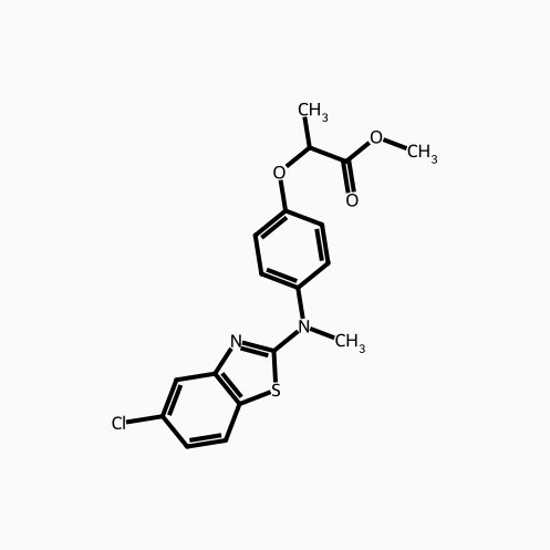 COC(=O)C(C)Oc1ccc(N(C)c2nc3cc(Cl)ccc3s2)cc1